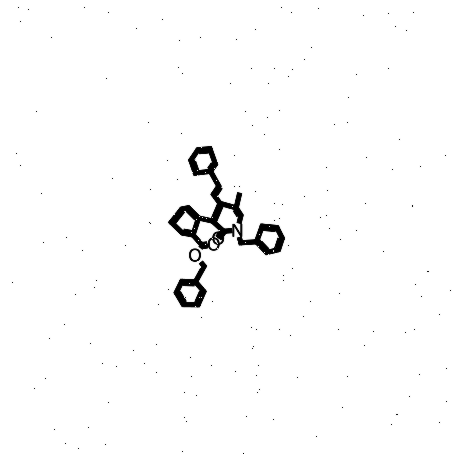 Cc1cn(Cc2ccccc2)c(=O)c(-c2ccccc2C(=O)OCc2ccccc2)c1/C=C/c1ccccc1